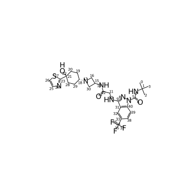 CC(C)(C)NC(=O)n1nc(NCC(=O)NC2CN([C@H]3CC[C@@](O)(c4nccs4)CC3)C2)c2cc(C(F)(F)F)ccc21